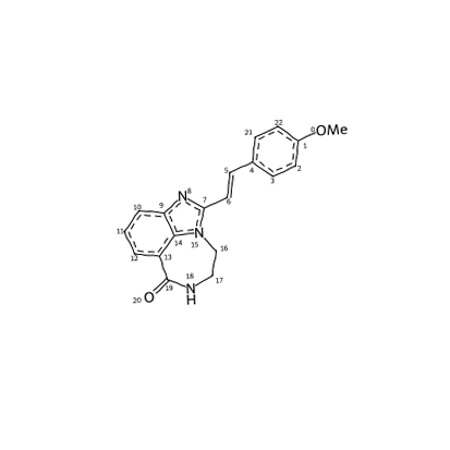 COc1ccc(/C=C/c2nc3cccc4c3n2CCNC4=O)cc1